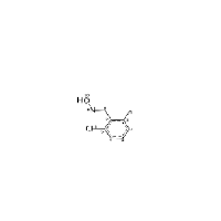 Cc1cccc(Cl)c1C=NO